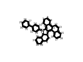 C1=CC2c3c(c4ccccc4c4ccc5ccccc5c34)N(c3ccc(-c4ccccc4)cc3)C2c2ccccc21